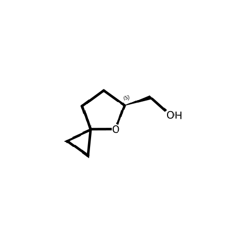 OC[C@@H]1CCC2(CC2)O1